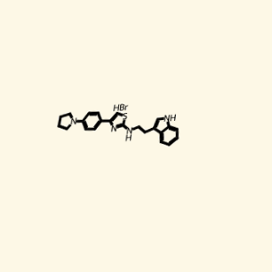 Br.c1ccc2c(CCNc3nc(-c4ccc(N5CCCC5)cc4)cs3)c[nH]c2c1